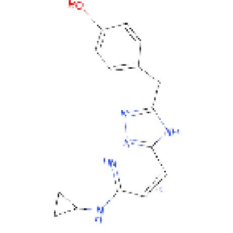 N=C(/C=C\c1nnc(Cc2ccc(O)cc2)[nH]1)NC1CC1